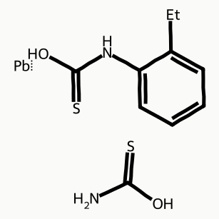 CCc1ccccc1NC(O)=S.NC(O)=S.[Pb]